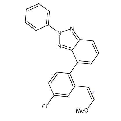 CO/C=C\c1cc(Cl)ccc1-c1cccc2nn(-c3ccccc3)nc12